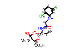 CN[C@H]1C(=O)OB([C@H](CC(C)C)NC(=O)CNc2cc(Cl)ccc2Cl)O[C@H]1C(=O)O